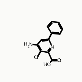 Nc1cc(-c2ccccc2)nc(C(=O)O)c1Cl